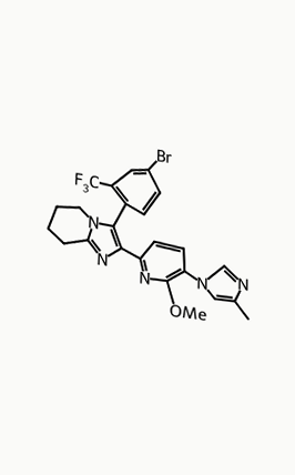 COc1nc(-c2nc3n(c2-c2ccc(Br)cc2C(F)(F)F)CCCC3)ccc1-n1cnc(C)c1